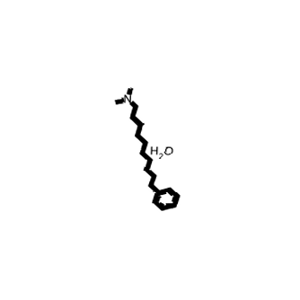 CN(C)CCCCCCCCCCc1ccccc1.O